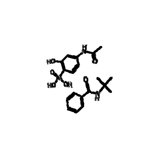 CC(=O)Nc1ccc([As](=O)(O)O)c(O)c1.CC(C)(C)NC(=O)c1ccccc1